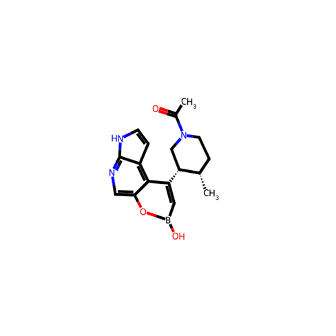 CC(=O)N1CC[C@H](C)[C@H](C2=CB(O)Oc3cnc4[nH]ccc4c32)C1